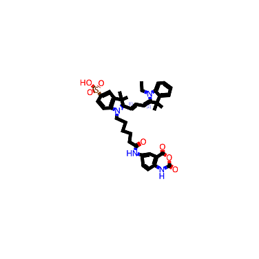 CCN1/C(=C\C=C\C2=[N+](CCCCCC(=O)Nc3ccc4[nH]c(=O)oc(=O)c4c3)c3ccc(S(=O)(=O)O)cc3C2(C)C)C(C)(C)c2ccccc21